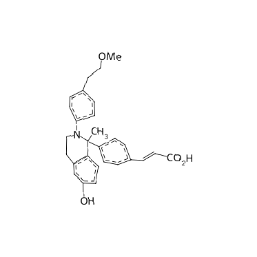 COCCc1ccc(N2CCc3cc(O)ccc3C2(C)c2ccc(/C=C/C(=O)O)cc2)cc1